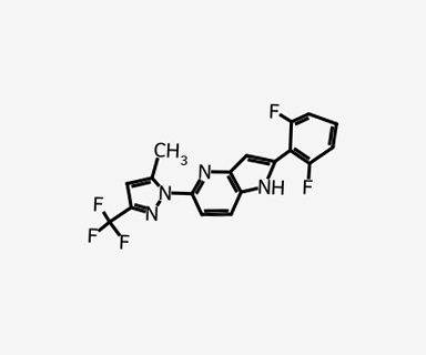 Cc1cc(C(F)(F)F)nn1-c1ccc2[nH]c(-c3c(F)cccc3F)cc2n1